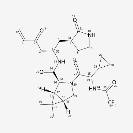 C=CC(=O)C[C@H](C[C@@H]1CCNC1=O)NC(=O)[C@@H]1[C@@H]2[C@H](CN1C(=O)[C@@H](NC(=O)C(F)(F)F)C1CC1)C2(C)C